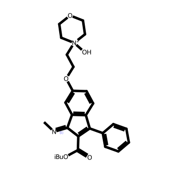 C/N=C1/C(C(=O)OCC(C)C)=C(c2ccccc2)c2ccc(OCC[N+]3(O)CCOCC3)cc21